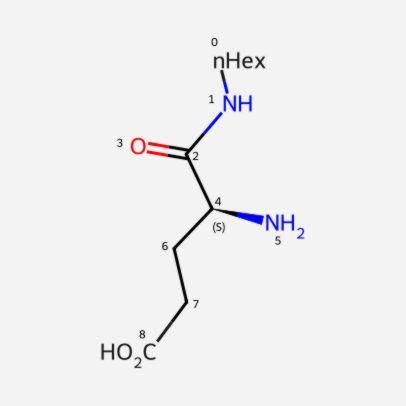 CCCCCCNC(=O)[C@@H](N)CCC(=O)O